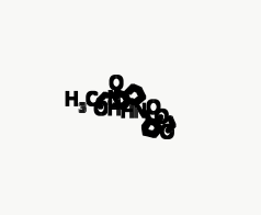 CC(O)Cn1ccc2c(NC(=O)c3cccc4c3OCCO4)cccc2c1=O